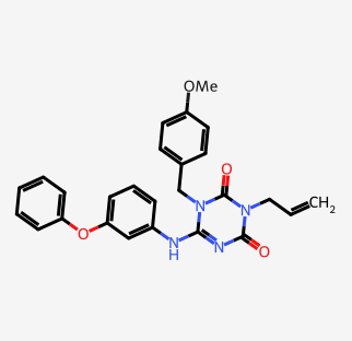 C=CCn1c(=O)nc(Nc2cccc(Oc3ccccc3)c2)n(Cc2ccc(OC)cc2)c1=O